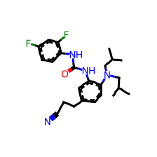 CC(C)CN(CC(C)C)c1ccc(CCC#N)cc1NC(=O)Nc1ccc(F)cc1F